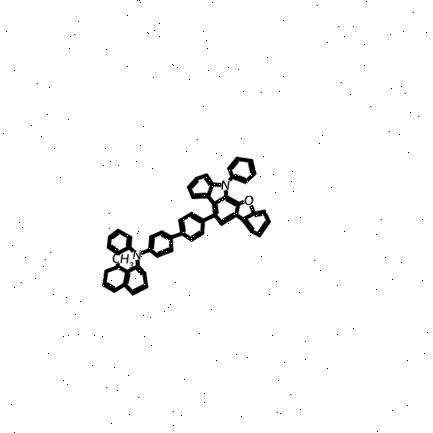 CC1CC=Cc2cccc(N(c3ccccc3)c3ccc(-c4ccc(-c5cc6c7ccccc7oc6c6c5c5ccccc5n6-c5ccccc5)cc4)cc3)c21